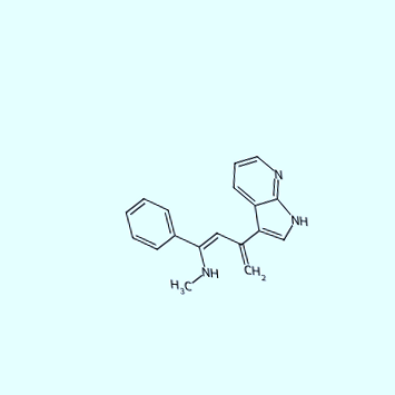 C=C(/C=C(\NC)c1ccccc1)c1c[nH]c2ncccc12